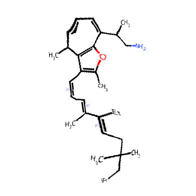 CCC(=C\CC(C)(C)CC(C)C)/C(C)=C/C=C\c1c(C)oc2c1C(C)C=CC=C2C(C)CN